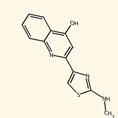 CNc1nc(-c2[c]c(O)c3ccccc3n2)cs1